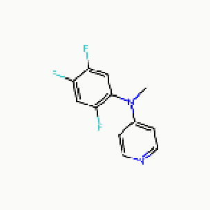 CN(c1ccncc1)c1cc(F)c(F)cc1F